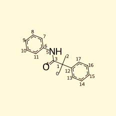 CC(C)(C(=O)Nc1ccccc1)c1ccccc1